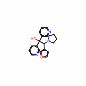 OC(c1cccnc1)(c1cccnc1)C(c1ccoc1)N1CCCC1